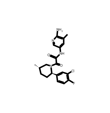 Cc1cc(NC(=O)C(=O)N2C[C@@H](C)CC[C@@H]2c2ccc(F)c(Cl)c2)cnc1N